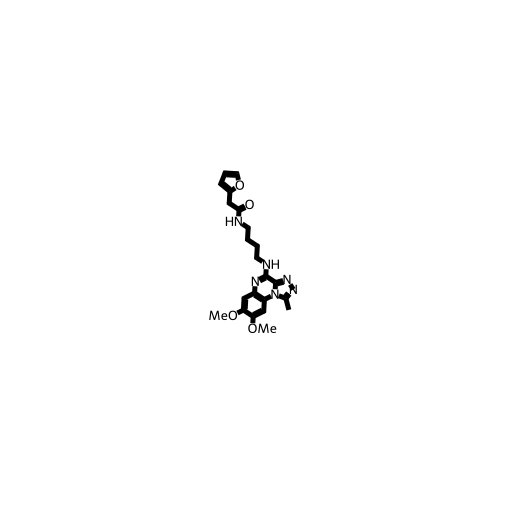 COc1cc2nc(NCCCCNC(=O)Cc3ccco3)c3nnc(C)n3c2cc1OC